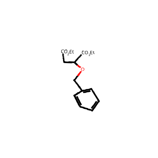 CCOC(=O)CC(OCc1ccccc1)C(=O)OCC